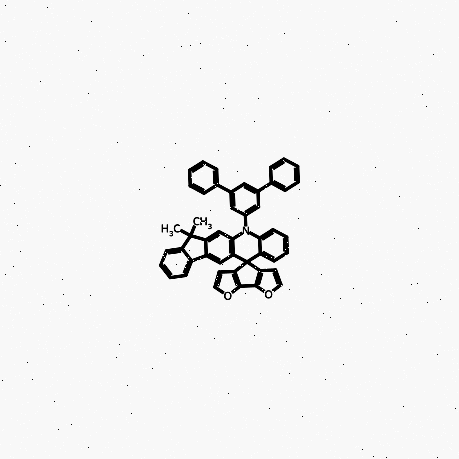 CC1(C)c2ccccc2-c2cc3c(cc21)N(c1cc(-c2ccccc2)cc(-c2ccccc2)c1)c1ccccc1C31c2ccoc2-c2occc21